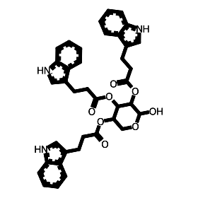 O=C(CCc1c[nH]c2ccccc12)OC1COC(O)C(OC(=O)CCc2c[nH]c3ccccc23)C1OC(=O)CCc1c[nH]c2ccccc12